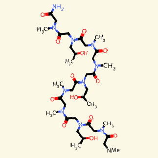 CNCC(=O)N(C)CC(=O)N(CC(=O)N(C)CC(=O)N(C)CC(=O)N(CC(=O)N(C)CC(=O)N(C)CC(=O)N(CC(=O)N(C)CC(N)=O)CC(C)O)CC(C)O)CC(C)O